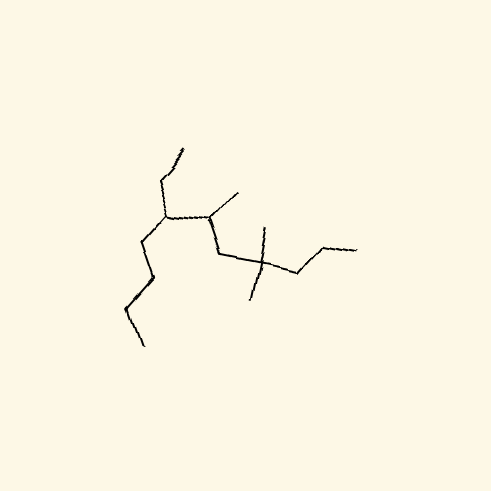 CCCCC(CC)[C](C)CC(C)(C)CCC